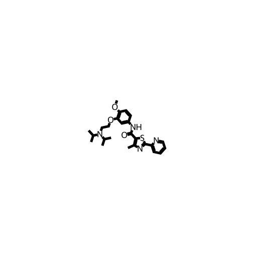 COc1ccc(NC(=O)c2sc(-c3ccccn3)nc2C)cc1OCCN(C(C)C)C(C)C